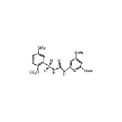 COc1cc(OC)nc(NC(=O)NS(=O)(=O)c2cc(SC)ccc2C(=O)O)n1